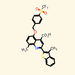 Cc1c(-c2cc(C(=O)O)c3c(OCc4ccc(S(=O)(=O)C(F)(F)F)cc4)ccc(C)c3n2)sc2ccccc12